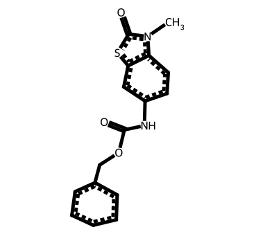 Cn1c(=O)sc2cc(NC(=O)OCc3ccccc3)ccc21